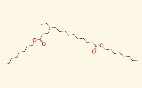 CCCCCCCCOC(=O)CCCCCCCCCC(CC)CCC(=O)OCCCCCCCC